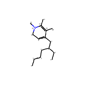 CCCCC(CC)CC1=CCN(C)C(C)=C1C